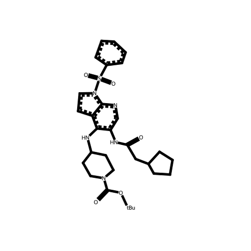 CC(C)(C)OC(=O)N1CCC(Nc2c(NC(=O)CC3CCCC3)cnc3c2ccn3S(=O)(=O)c2ccccc2)CC1